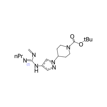 C=N/C(=N\CCC)Nc1cnn(C2CCN(C(=O)OC(C)(C)C)CC2)c1